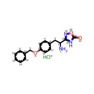 Cl.NC(Cc1ccc(OCc2ccccc2)cc1)c1noc(=O)[nH]1